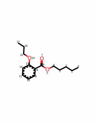 CCCCCOC(=O)c1ccccc1OCCC